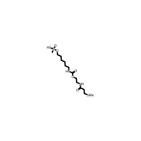 CSCCC(=O)NCCOC(=O)NCCCCCCOP(C)(=O)S